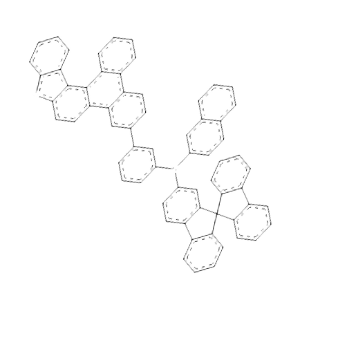 c1cc(-c2ccc3c4ccccc4c4c(ccc5oc6ccccc6c54)c3c2)cc(N(c2ccc3c(c2)C2(c4ccccc4-c4ccccc42)c2ccccc2-3)c2ccc3ccccc3c2)c1